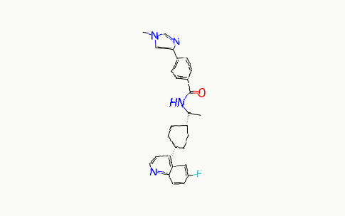 CC(NC(=O)c1ccc(-c2cn(C)cn2)cc1)[C@H]1CC[C@@H](c2ccnc3ccc(F)cc32)CC1